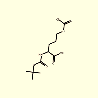 CC(C)(C)OC(=O)NC(CCCOC(=O)Cl)C(=O)O